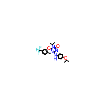 CC(C)Oc1ccc(Nc2nc(=O)n(C(C)C)c(=O)n2Cc2ccc(C(F)(F)F)cc2)cc1